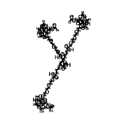 CC(=O)N[C@H]1[C@H](OCCOCCOCCOCC(=O)NCCCC[C@H](CC(=O)[C@H](CCCCNC(=O)COCCOCCOCCO[C@@H]2O[C@H](COC(C)=O)[C@H](OC(C)=O)[C@H](OC(C)=O)[C@H]2NC(C)=O)NC(=O)COCCOCCOCCO[C@@H]2O[C@H](COC(C)=O)[C@H](OC(C)=O)[C@H](OC(C)=O)[C@H]2NC(C)=O)C(=O)O)O[C@H](COC(C)=O)[C@H](OC(C)=O)[C@@H]1OC(C)=O